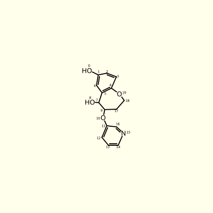 Oc1ccc2c(c1)C(O)C(Oc1cccnc1)CCO2